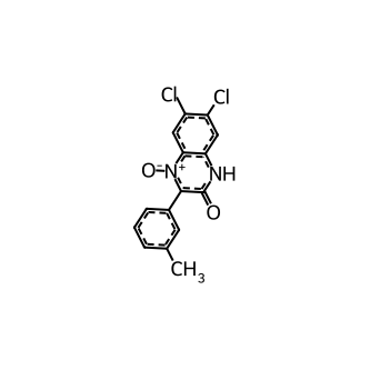 Cc1cccc(-c2c(=O)[nH]c3cc(Cl)c(Cl)cc3[n+]2[O-])c1